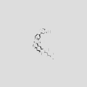 COC(=O)CCC(=O)Nc1cc2c(Nc3cc(C4CNCCO4)ccn3)ncnc2cc1OC